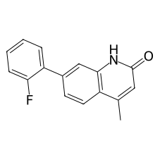 Cc1cc(=O)[nH]c2cc(-c3ccccc3F)ccc12